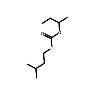 [CH2]C(CC)OC(=O)OCCC(C)C